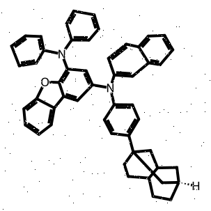 c1ccc(N(c2ccccc2)c2cc(N(c3ccc(C45CCC6CC[C@H](CC6C4)C5)cc3)c3ccc4ccccc4c3)cc3c2oc2ccccc23)cc1